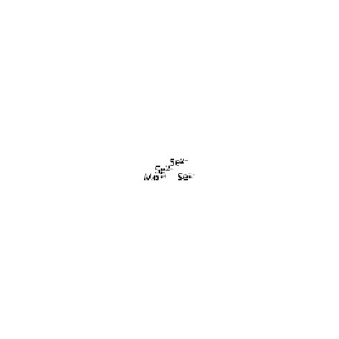 [Mo+6].[Se-2].[Se-2].[Se-2]